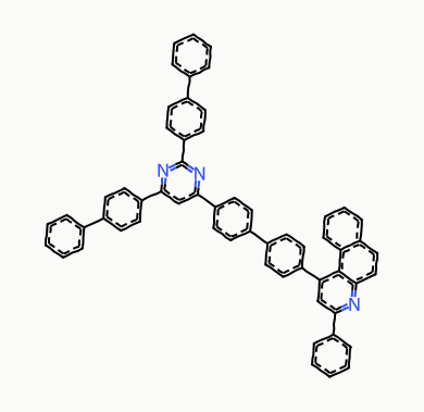 c1ccc(-c2ccc(-c3cc(-c4ccc(-c5ccc(-c6cc(-c7ccccc7)nc7ccc8ccccc8c67)cc5)cc4)nc(-c4ccc(-c5ccccc5)cc4)n3)cc2)cc1